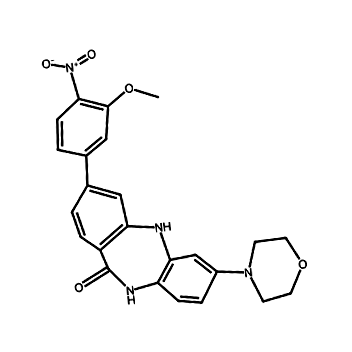 COc1cc(-c2ccc3c(c2)Nc2cc(N4CCOCC4)ccc2NC3=O)ccc1[N+](=O)[O-]